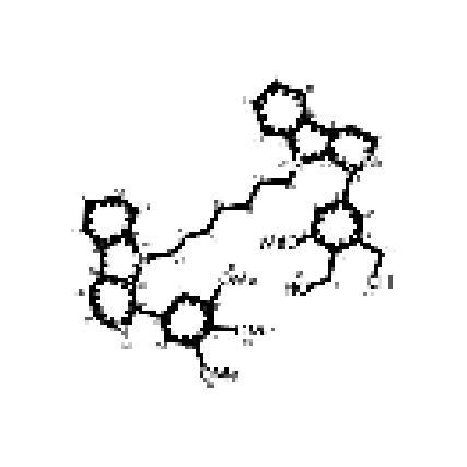 COc1cc(-c2nccc3c4ccccc4n(CCCCCCCn4c5ccccc5c5ccnc(-c6cc(OC)c(OC)c(OC)c6)c54)c23)cc(CO)c1CO